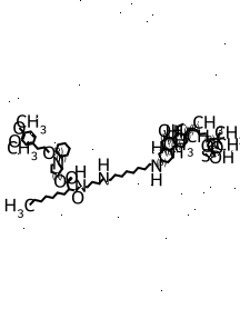 CCCCCCCC(C(=O)NCCCNCCCCCCCCN[C@H]1CC[C@@]2(C)[C@H](C1)C[C@@H](O)[C@@H]1[C@@H]2CC[C@]2(C)[C@@H]([C@H](C)CC[C@@H](OS(=O)(O)=S)C(C)C)CC[C@@H]12)C(=O)O[C@@H]1CCN([C@@H]2CCCC[C@H]2OCCc2ccc(OC)c(OC)c2)C1